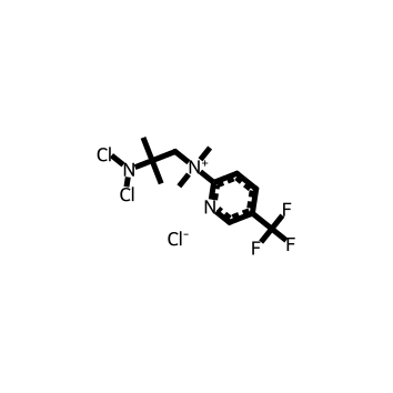 CC(C)(C[N+](C)(C)c1ccc(C(F)(F)F)cn1)N(Cl)Cl.[Cl-]